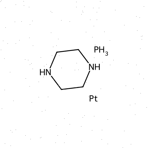 C1CNCCN1.P.[Pt]